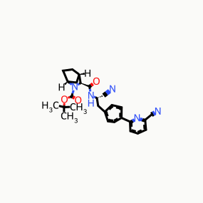 CC(C)(C)OC(=O)N1[C@@H]2CC[C@@H](C2)[C@H]1C(=O)N[C@H](C#N)Cc1ccc(-c2cccc(C#N)n2)cc1